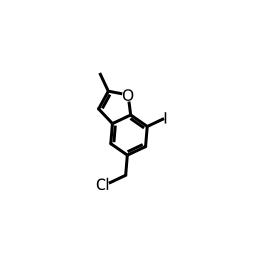 Cc1cc2cc(CCl)cc(I)c2o1